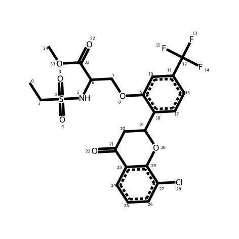 CCS(=O)(=O)NC(COc1cc(C(F)(F)F)ccc1C1CC(=O)c2cccc(Cl)c2O1)C(=O)OC